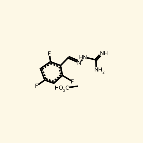 CC(=O)O.N=C(N)NN=Cc1c(F)cc(F)cc1F